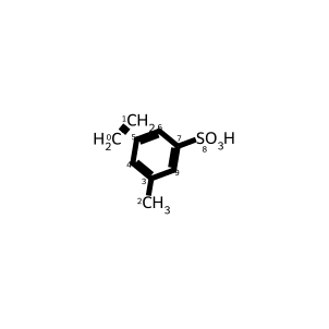 C=C.Cc1cccc(S(=O)(=O)O)c1